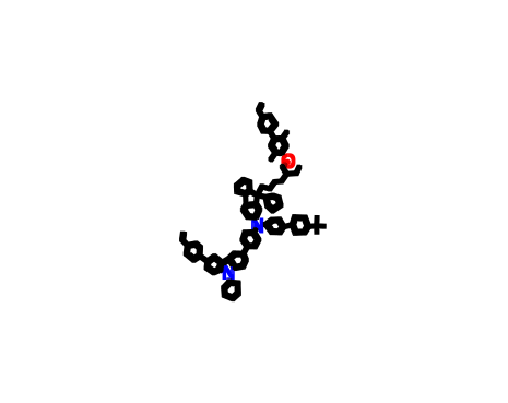 C=Cc1ccc(-c2ccc3c(c2)c2cc(-c4ccc(N(c5ccc(-c6ccc(C(C)(C)C)cc6)cc5)c5ccc6c(c5)C(CCCCC(CC)COc5cc(C)c(-c7ccc(C=C)cc7)cc5C)(c5ccccc5)c5ccccc5-6)cc4)ccc2n3-c2ccccc2)cc1